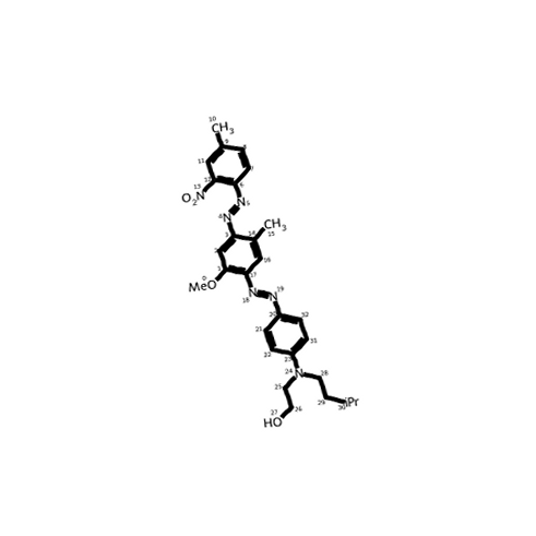 COc1cc(N=Nc2ccc(C)cc2[N+](=O)[O-])c(C)cc1N=Nc1ccc(N(CCO)CCC(C)C)cc1